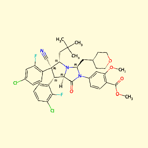 COC(=O)c1ccc(N2C(=O)[C@H]3[C@H](c4cccc(Cl)c4F)[C@@](C#N)(c4ccc(Cl)cc4F)[C@H](CC(C)(C)C)N3[C@H]2CC2CCOCC2)cc1OC